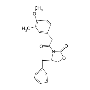 COc1ccc(CC(=O)N2C(=O)OC[C@H]2Cc2ccccc2)cc1C